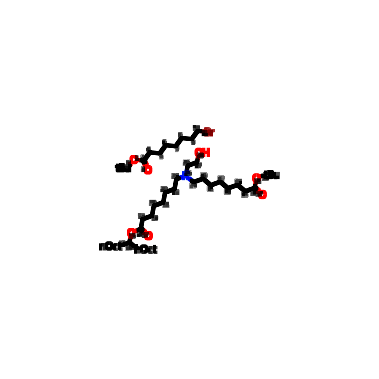 CC(C)(C)OC(=O)CCCCCCCBr.CCCCCCCCC(CCCCCCCC)OC(=O)CCCCCCCN(CCO)CCCCCCCC(=O)OC(C)(C)C